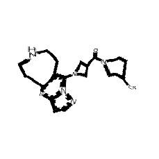 N#CC1CCN(C(=O)C2CN(c3c4c(nc5ccnn35)CCNCC4)C2)C1